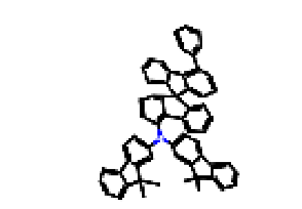 CC1(C)c2ccccc2-c2ccc(N(c3ccc4c(c3)C(C)(C)c3ccccc3-4)c3cccc4c3-c3ccccc3C43c4ccccc4-c4c(-c5ccccc5)cccc43)cc21